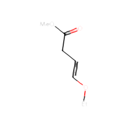 CCO/C=C/CC(=O)OC